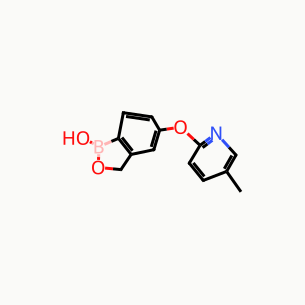 Cc1ccc(Oc2ccc3c(c2)COB3O)nc1